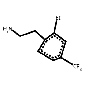 CCc1cc(C(F)(F)F)ccc1CCN